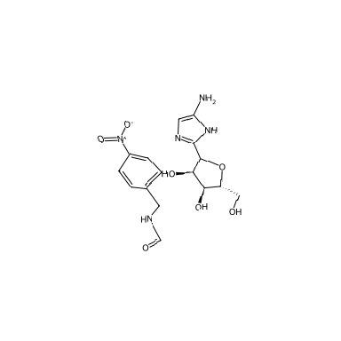 Nc1cnc(C2O[C@H](CO)[C@@H](O)[C@H]2O)[nH]1.O=CNCc1ccc([N+](=O)[O-])cc1